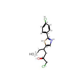 O=C(O)CC(CC(=O)CCl)c1cnc(-c2ccc(Cl)cc2)s1